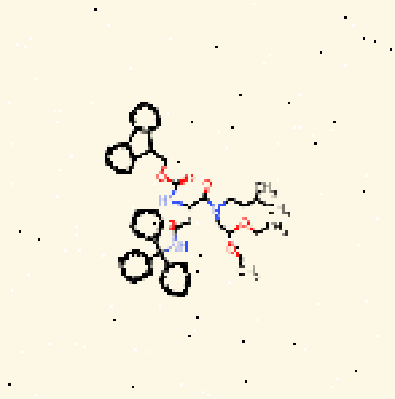 CCOC(CN(CCC(C)C)C(=O)[C@H](CC(=O)NC(c1ccccc1)(c1ccccc1)c1ccccc1)NC(=O)OCC1c2ccccc2-c2ccccc21)OCC